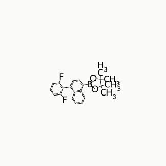 CC1(C)OB(c2ccc(-c3c(F)cccc3F)c3ccccc23)OC1(C)C